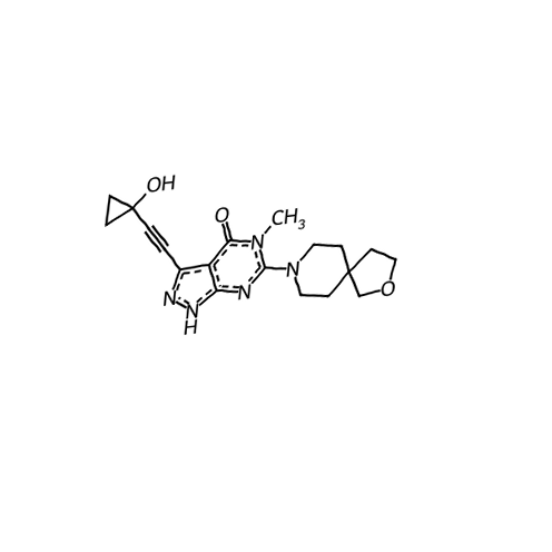 Cn1c(N2CCC3(CCOC3)CC2)nc2[nH]nc(C#CC3(O)CC3)c2c1=O